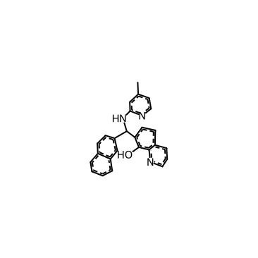 Cc1ccnc(NC(c2ccc3ccccc3c2)c2ccc3cccnc3c2O)c1